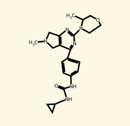 CC1COCCN1c1nc2c(c(-c3ccc(NC(=O)NC4CC4)cc3)n1)CN(C)C2